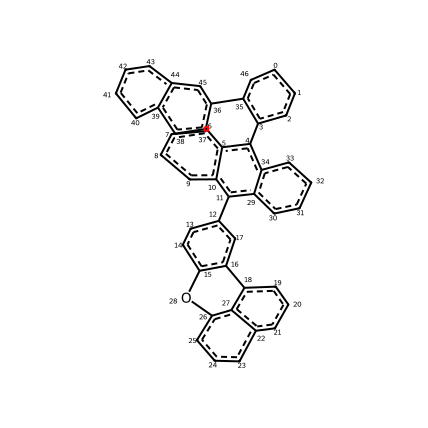 c1ccc(-c2c3ccccc3c(-c3ccc4c(c3)-c3cccc5cccc(c35)O4)c3ccccc23)c(-c2ccc3ccccc3c2)c1